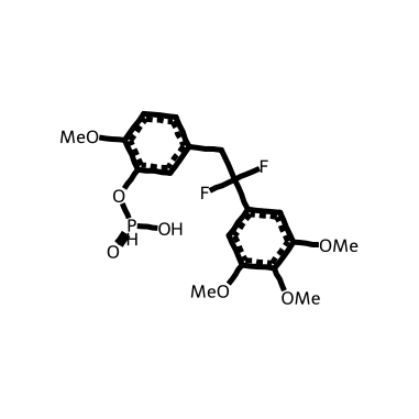 COc1ccc(CC(F)(F)c2cc(OC)c(OC)c(OC)c2)cc1O[PH](=O)O